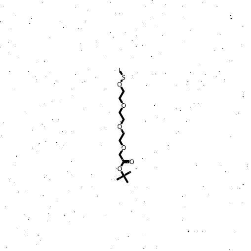 CC(C)(C)OC(=O)COCCOCCOCCOSI